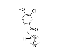 O=C(N[C@H]1CN2CCC1CC2)c1cc(Cl)c(O)cn1